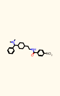 CN(C)C(c1ccccc1)C1CCC(CCNC(=O)c2ccc([N+](=O)[O-])cc2)CC1